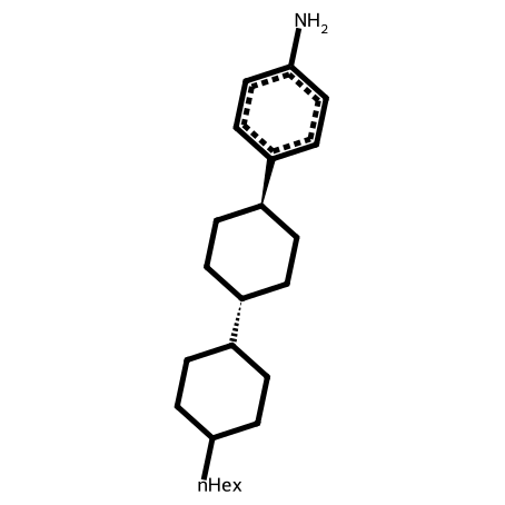 CCCCCCC1CCC([C@H]2CC[C@H](c3ccc(N)cc3)CC2)CC1